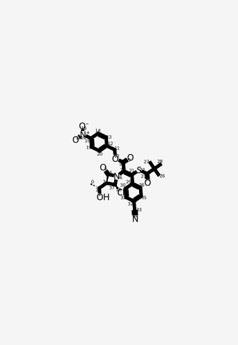 C[C@@H](O)[C@H]1C(=O)N(C(C(=O)OCc2ccc([N+](=O)[O-])cc2)=C(SC(=O)C(C)(C)C)c2ccc(C#N)cc2)[C@H]1Cl